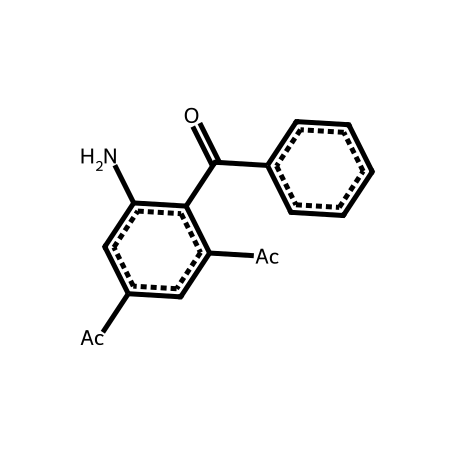 CC(=O)c1cc(N)c(C(=O)c2ccccc2)c(C(C)=O)c1